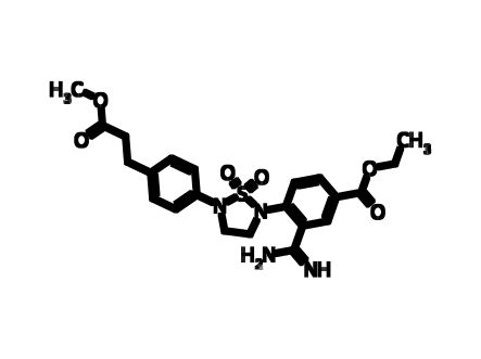 CCOC(=O)c1ccc(N2CCN(c3ccc(CCC(=O)OC)cc3)S2(=O)=O)c(C(=N)N)c1